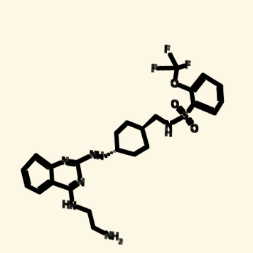 NCCNc1nc(NC[C@H]2CC[C@H](CNS(=O)(=O)c3ccccc3OC(F)(F)F)CC2)nc2ccccc12